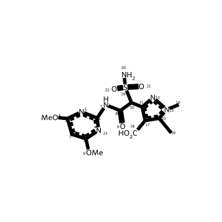 COc1cc(OC)nc(NC(=O)C(c2nn(C)c(C)c2C(=O)O)S(N)(=O)=O)n1